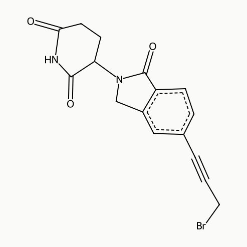 O=C1CCC(N2Cc3cc(C#CCBr)ccc3C2=O)C(=O)N1